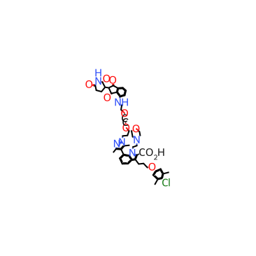 Cc1cc(OCCCc2c(C(=O)O)n(CCN3CCOCC3)c3c(-c4c(C)nn(CCCOCCOCCNc5cccc6c5C(=O)C(C5CCC(=O)NC5=O)C6=O)c4C)cccc23)cc(C)c1Cl